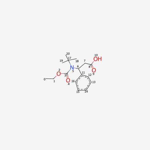 CCOC(=O)N(C(CC(=O)O)c1ccccc1)C(C)(C)C